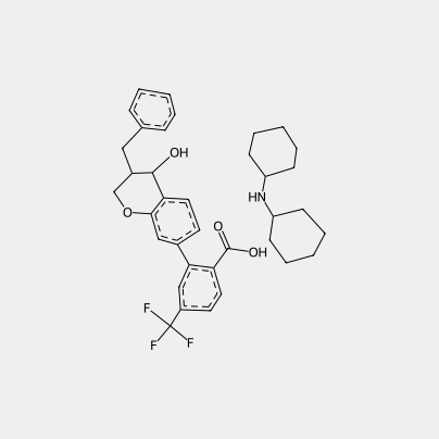 C1CCC(NC2CCCCC2)CC1.O=C(O)c1ccc(C(F)(F)F)cc1-c1ccc2c(c1)OCC(Cc1ccccc1)C2O